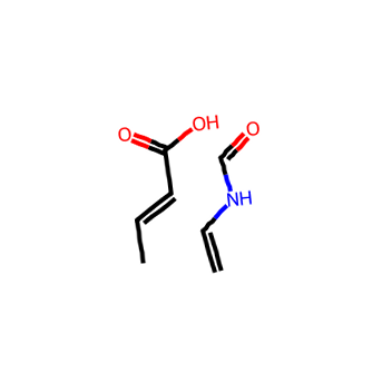 C=CNC=O.CC=CC(=O)O